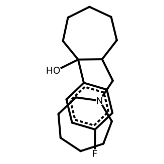 OC1(c2ccc(F)cc2)CCCCCC1CN1CCCCCC1